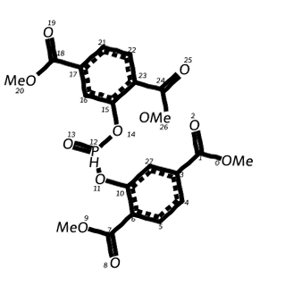 COC(=O)c1ccc(C(=O)OC)c(O[PH](=O)Oc2cc(C(=O)OC)ccc2C(=O)OC)c1